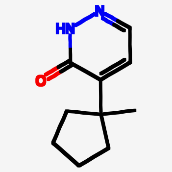 CC1(c2ccn[nH]c2=O)CCCC1